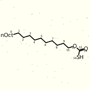 CCCCCCCCCCCCCCCCCCOC(=O)S